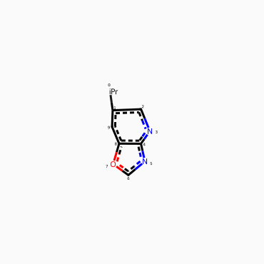 CC(C)c1cnc2ncoc2c1